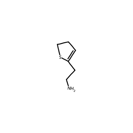 NCCC1=CCCS1